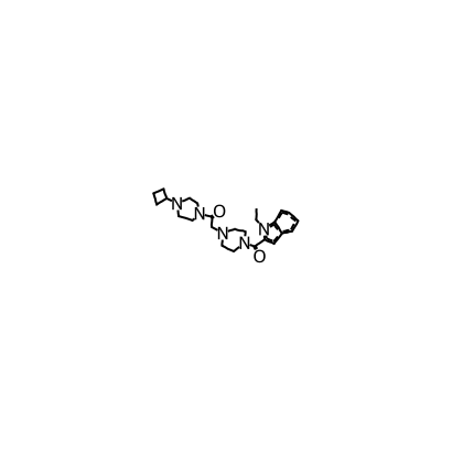 CCn1c(C(=O)N2CCN(CC(=O)N3CCN(C4CCC4)CC3)CC2)cc2ccccc21